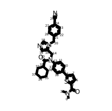 CN(C)C(=O)c1ccc(-c2ccc(N(Cc3cncn3Cc3ccc(C#N)cc3)C(=O)C3CCCCC3)cc2)s1